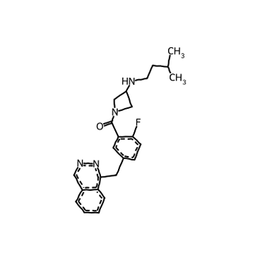 CC(C)CCNC1CN(C(=O)c2cc(Cc3nncc4ccccc34)ccc2F)C1